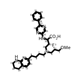 COC[C@@H](F)CN(CCCCc1ccc2c(n1)NCCC2)CCC(Nc1cnc(-c2ccccc2)cn1)C(=O)O